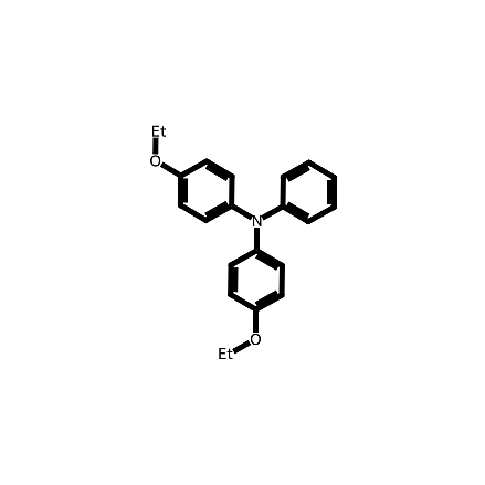 CCOc1ccc(N(c2ccccc2)c2ccc(OCC)cc2)cc1